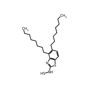 CCCCCCCCc1ccc2sc(NS)nc2c1CCCCCCCC